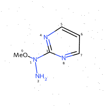 CON(N)c1ncccn1